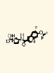 O=C(NC1CCN(C(=O)O)C1)c1cnc2cc(OC(F)F)c(F)cc2c1